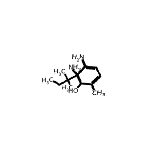 CCC(C)(C)C1(N)C(N)=CC=C(C)C1O